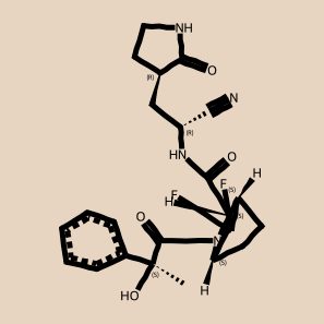 C[C@@](O)(C(=O)N1[C@H]2CC[C@@H]([C@H]1C(=O)N[C@@H](C#N)C[C@H]1CCNC1=O)C(F)(F)C2)c1ccccc1